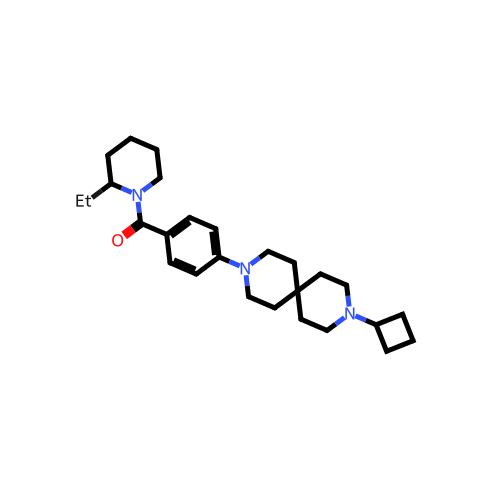 CCC1CCCCN1C(=O)c1ccc(N2CCC3(CC2)CCN(C2CCC2)CC3)cc1